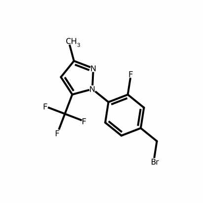 Cc1cc(C(F)(F)F)n(-c2ccc(CBr)cc2F)n1